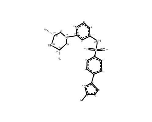 Cc1ccc(-c2ccc(S(=O)(=O)Nc3ccnc(N4C[C@@H](C)N[C@@H](C)C4)c3)cc2)o1